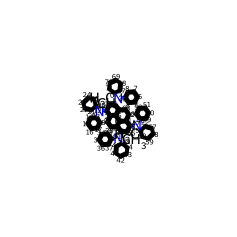 CC1(N(c2ccccc2)c2cc(N(c3ccccc3)C3(C)C=CC=CC3)c3ccc4c(N(c5ccccc5)C5(C)C=CC=CC5)cc(N(c5ccccc5)C5(C)C=CC=CC5)c5ccc2c3c54)C=CC=CC1